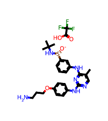 Cc1cnc(Nc2ccc(OCCCN)cc2)nc1Nc1cccc([S+]([O-])NC(C)(C)C)c1.O=C(O)C(F)(F)F